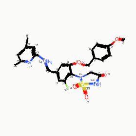 COc1ccc(COc2cc(CNc3cc(C)cc(C)n3)cc(F)c2N2CC(=O)NS2(=O)=O)cc1